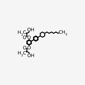 C=C(CO)C(=O)Oc1ccc(OC(=O)C(=C)CO)c(-c2ccc(C3CCC(CCCCCCC)CC3)cc2)c1